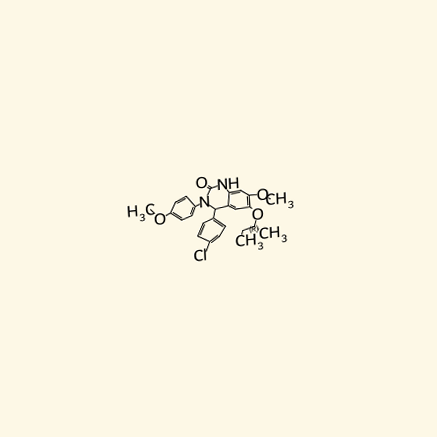 CC[C@@H](C)Oc1cc2c(cc1OC)NC(=O)N(c1ccc(OC)cc1)C2c1ccc(Cl)cc1